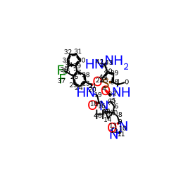 CC(NC(=O)[C@@H]1C[C@]2(Cc3ncno3)C[C@@H]2N1C(=O)CNC(=O)c1ccc2c(c1)-c1ccccc1C2(F)F)c1cc(C(=N)N)cs1